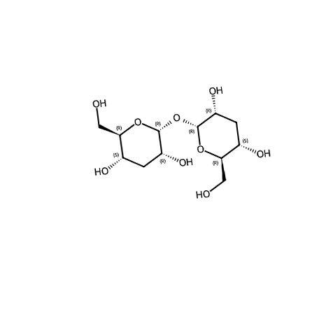 OC[C@H]1O[C@H](O[C@H]2O[C@H](CO)[C@@H](O)C[C@H]2O)[C@H](O)C[C@@H]1O